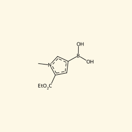 CCOC(=O)c1cc(B(O)O)cn1C